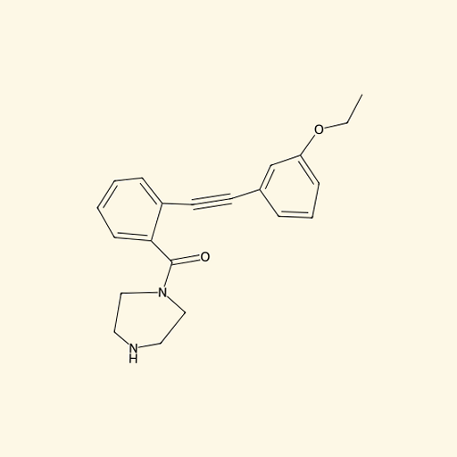 CCOc1cccc(C#Cc2ccccc2C(=O)N2CCNCC2)c1